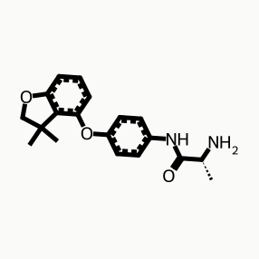 C[C@@H](N)C(=O)Nc1ccc(Oc2cccc3c2C(C)(C)CO3)cc1